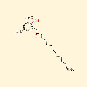 CCCCCCCCCCCCCCCCCCCCCC(=O)Cc1cc([N+](=O)[O-])cc(C=O)c1O